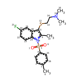 Cc1ccc(S(=O)(=O)n2c(C)c(SCCN(C)C)c3cc(F)ccc32)cc1